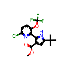 COC(=O)c1cc(C(C)(C)C)[nH]c1-c1nc(Cl)ccc1OC(F)(F)F